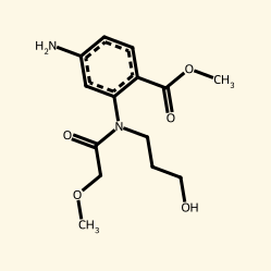 COCC(=O)N(CCCO)c1cc(N)ccc1C(=O)OC